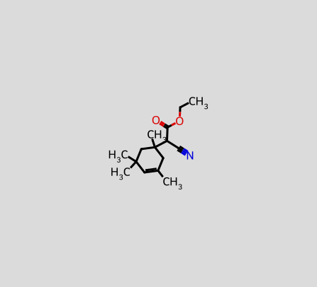 CCOC(=O)C(C#N)C1(C)CC(C)=CC(C)(C)C1